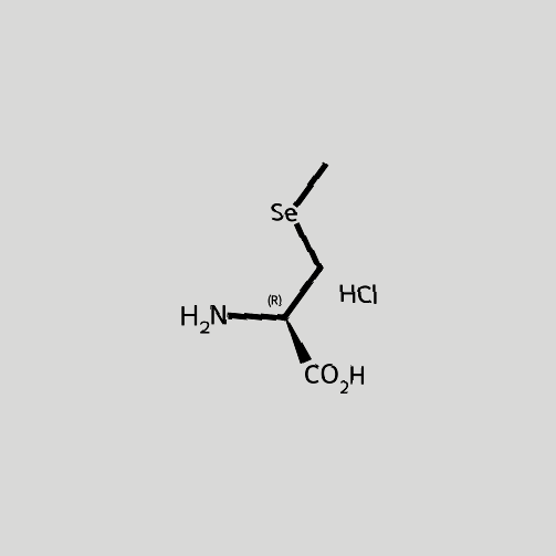 C[Se]C[C@H](N)C(=O)O.Cl